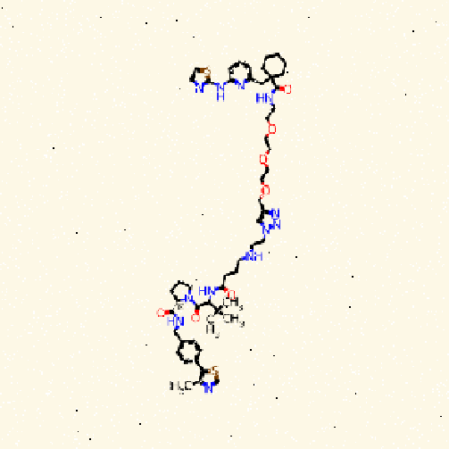 Cc1ncsc1-c1ccc(CNC(=O)[C@@H]2CCCN2C(=O)C(NC(=O)CCCNCCn2cc(COCCOCCOCCNC(=O)C3(Cc4cccc(Nc5nccs5)n4)CCCCC3)nn2)C(C)(C)C)cc1